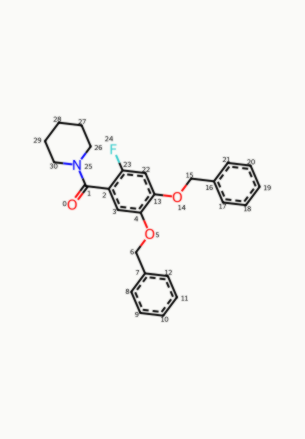 O=C(c1cc(OCc2ccccc2)c(OCc2ccccc2)cc1F)N1CCCCC1